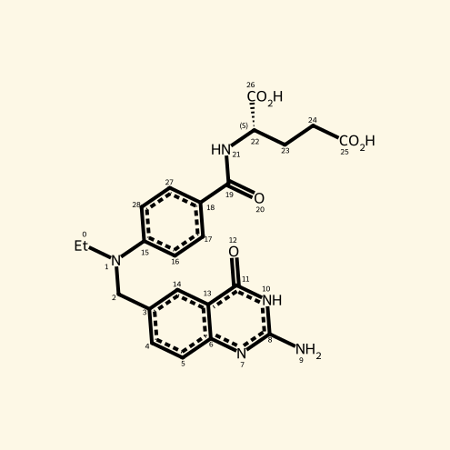 CCN(Cc1ccc2nc(N)[nH]c(=O)c2c1)c1ccc(C(=O)N[C@@H](CCC(=O)O)C(=O)O)cc1